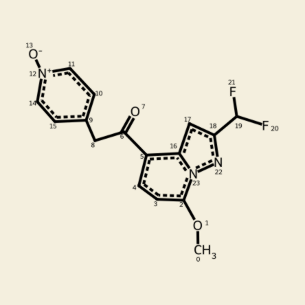 COc1ccc(C(=O)Cc2cc[n+]([O-])cc2)c2cc(C(F)F)nn12